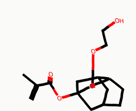 C=C(C)C(=O)OC12CC3CCC(C(C3)C1)C(OCCO)C2